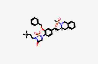 C[Si](C)(C)CCN1C(=O)CN(c2ccc(/C=C/[C@@H]3Cc4ccccc4CN3S(C)(=O)=O)cc2OCc2ccccc2)S1(=O)=O